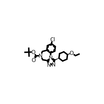 CCO[C@H]1CC[C@@H](c2nnc3n2-c2ccc(Cl)cc2CN(C(=O)OC(C)(C)C)C3)CC1